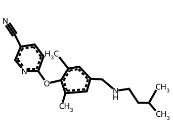 Cc1cc(CNCCC(C)C)cc(C)c1Oc1ccc(C#N)cn1